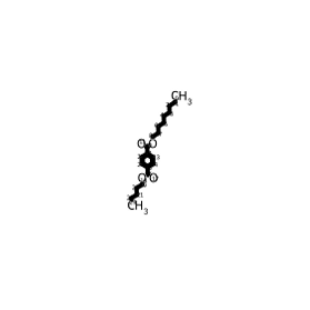 CCCCCCCCCOC(=O)c1ccc(C(=O)OCCCCC)cc1